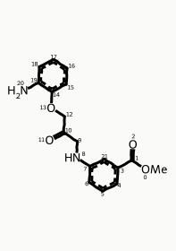 COC(=O)c1cccc(NCC(=O)COc2ccccc2N)c1